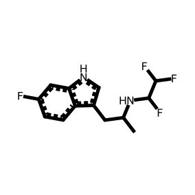 CC(Cc1c[nH]c2cc(F)ccc12)NC(F)C(F)F